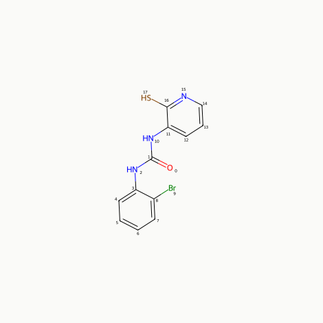 O=C(Nc1ccccc1Br)Nc1cccnc1S